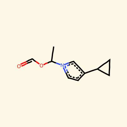 CC(OC=O)n1ccc(C2CC2)c1